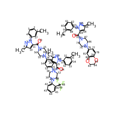 Cc1cccc(-n2nc(C)cc2C(=O)N2CCN(c3ccc([N+]4(C(=O)c5cc(C)nn5-c5cccc(C)c5)CCN(c5ccccc5C(F)(F)F)CC4)cc3)CC2)c1.Cc1cccc(-n2nc(C)cc2C(=O)N2CCN(c3ccc4c(c3)OCCO4)CC2)c1